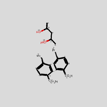 CC(C)c1ccc(C(=O)O)cc1.CC(C)c1ccc(C(=O)O)cc1.CC(O)CC(C)O